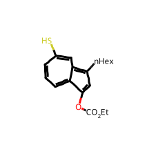 CCCCCCc1cc(OC(=O)OCC)c2cccc(S)cc1-2